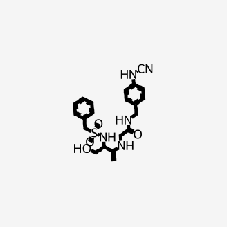 C=C(NCC(=O)NCc1ccc(NC#N)cc1)C(CO)NS(=O)(=O)Cc1ccccc1